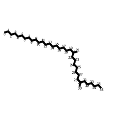 CCCCCCCCCCCCCCCCCCCCC(C)CCCCCCCC(C)CCCCCC